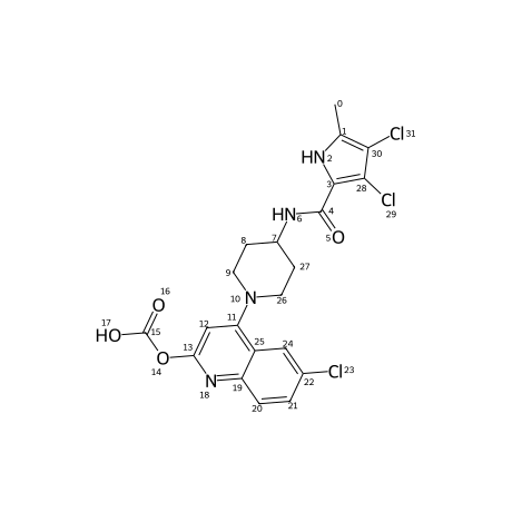 Cc1[nH]c(C(=O)NC2CCN(c3cc(OC(=O)O)nc4ccc(Cl)cc34)CC2)c(Cl)c1Cl